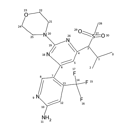 CC(C)C(c1cc(-c2cnc(N)cc2C(F)(F)F)nc(N2CCOCC2)n1)S(C)(=O)=O